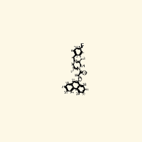 C[C@@H]1CN(Cc2ccc(F)cc2)[C@@H](C)CN1C(=O)COc1cc2ccccc2c2ccccc12